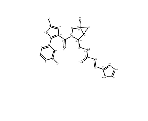 Cc1cccc(-c2sc(C)nc2C(=O)N2C[C@H]3CC3[C@H]2CNC(=O)C=Cc2ccco2)c1